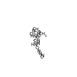 COc1cc(OC)c(Cl)c(NC(=O)c2csc3c(Nc4ccc(N5CCN(c6ccccn6)CC5)cc4)ncnc23)c1Cl